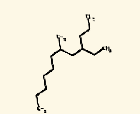 CCCCCCC(C)CC(CC)CCC